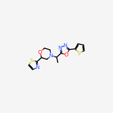 CC(c1nnc(-c2cccs2)o1)N1CCOC(c2nccs2)C1